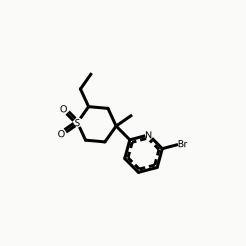 CCC1CC(C)(c2cccc(Br)n2)CCS1(=O)=O